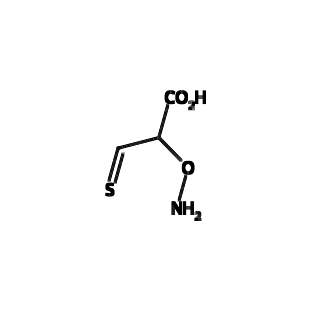 NOC(C=S)C(=O)O